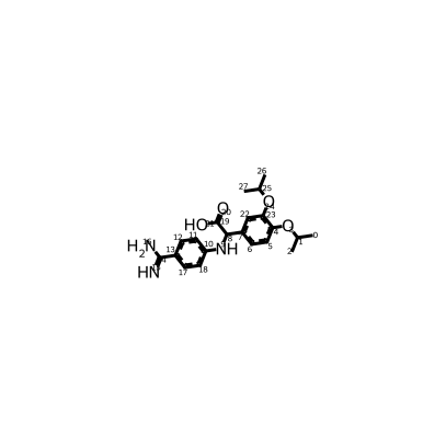 CC(C)Oc1ccc(C(Nc2ccc(C(=N)N)cc2)C(=O)O)cc1OC(C)C